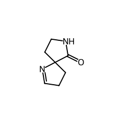 O=C1NCCC12CCC=N2